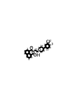 O=C1c2cccc3cccc(c23)C(O)N1CCN1CCC(c2cccc(C(F)(F)F)c2)CC1